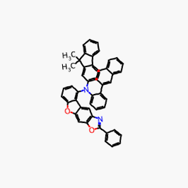 CC1(C)c2ccccc2-c2ccc(N(c3ccccc3-c3ccc4ccccc4c3)c3cccc4oc5cc6oc(-c7ccccc7)nc6cc5c34)cc21